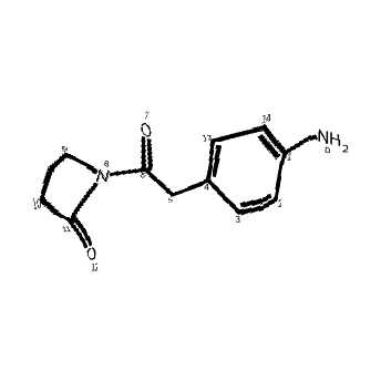 Nc1ccc(CC(=O)N2CCC2=O)cc1